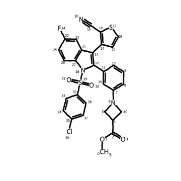 COC(=O)C1CN(c2cccc(-c3c(-c4ccsc4C#N)c4cc(F)ccc4n3S(=O)(=O)c3ccc(Cl)cc3)c2)C1